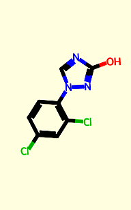 Oc1ncn(-c2ccc(Cl)cc2Cl)n1